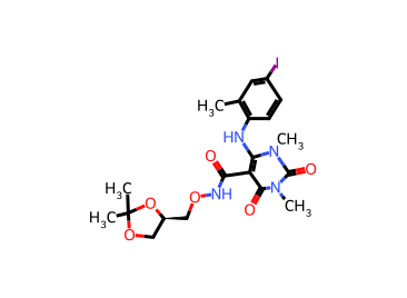 Cc1cc(I)ccc1Nc1c(C(=O)NOC[C@H]2COC(C)(C)O2)c(=O)n(C)c(=O)n1C